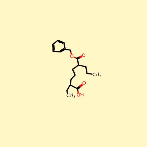 CCCC(CCCC(CC)C(=O)O)C(=O)OCc1ccccc1